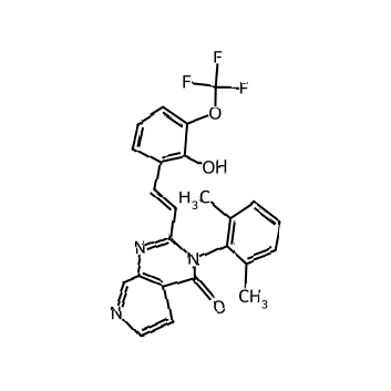 Cc1cccc(C)c1-n1c(/C=C/c2cccc(OC(F)(F)F)c2O)nc2cnccc2c1=O